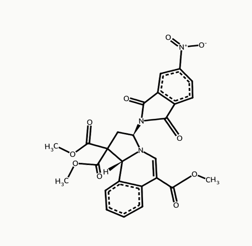 COC(=O)C1=CN2[C@H](N3C(=O)c4ccc([N+](=O)[O-])cc4C3=O)CC(C(=O)OC)(C(=O)OC)[C@H]2c2ccccc21